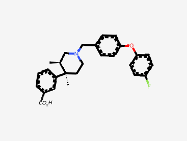 C[C@H]1CN(Cc2ccc(Oc3ccc(F)cc3)cc2)CC[C@@]1(C)c1cccc(C(=O)O)c1